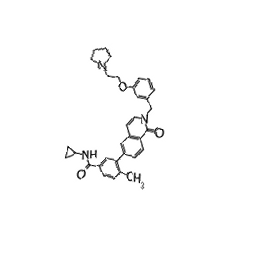 Cc1ccc(C(=O)NC2CC2)cc1-c1ccc2c(=O)n(Cc3cccc(OCCN4CCCC4)c3)ccc2c1